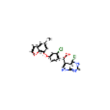 N#Cc1cc(Oc2ccc(C(O)c3c[nH]c4ncnc(Cl)c34)c(Cl)c2)c2occc2c1